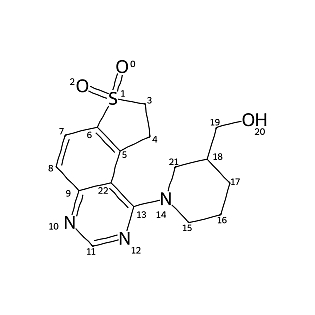 O=S1(=O)CCc2c1ccc1ncnc(N3CCCC(CO)C3)c21